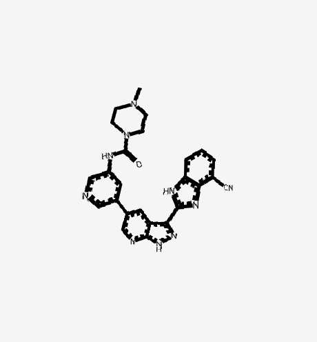 CN1CCN(C(=O)Nc2cncc(-c3cnc4[nH]nc(-c5nc6c(C#N)cccc6[nH]5)c4c3)c2)CC1